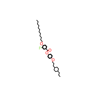 CCCCCCCCCCCCOc1ccc(C(=O)Oc2ccc(OCCCC3CCC(CCC)CC3)cc2)cc1F